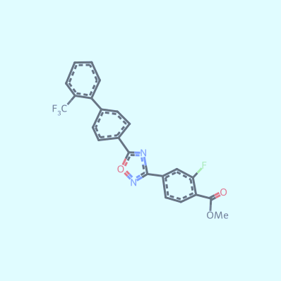 COC(=O)c1ccc(-c2noc(-c3ccc(-c4ccccc4C(F)(F)F)cc3)n2)cc1F